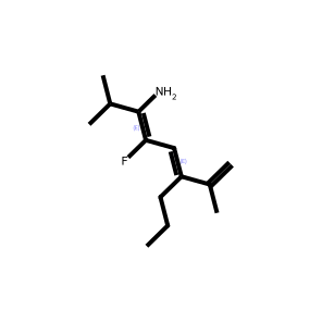 C=C(C)/C(=C/C(F)=C(\N)C(C)C)CCC